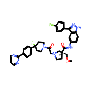 COC[C@@]1(C(=O)Nc2ccc3[nH]nc(-c4ccc(F)cc4)c3c2)CCN(CC(=O)N2CCC(F)(c3ccc(-c4ncccn4)cc3)CC2)C1